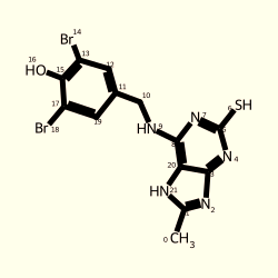 Cc1nc2nc(S)nc(NCc3cc(Br)c(O)c(Br)c3)c2[nH]1